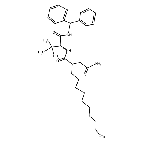 CCCCCCCCCCC(CC(N)=O)C(=O)N[C@H](C(=O)NC(c1ccccc1)c1ccccc1)C(C)(C)C